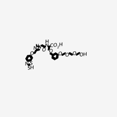 O=C(Cn1cc(COc2ccc3nc(S)sc3c2)nn1)N[C@@H](COCc1cccc(OCCOCCOCCO)c1)C(=O)O